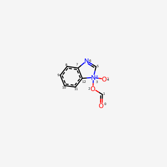 O=CO[N+]1([O-])C=Nc2ccccc21